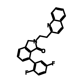 O=C1c2c(cccc2-c2cc(F)ccc2F)CN1CCc1ccc2ccccc2n1